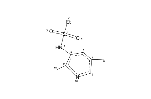 CCS(=O)(=O)Nc1cc(C)cnc1C